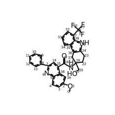 COc1ccc2nc(-c3ccccc3)cc(C(=O)NC3(CO)CCc4[nH]c5c(C(F)(F)F)cccc5c4C3)c2c1